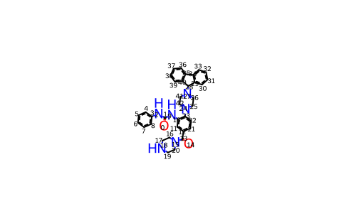 O=C(Nc1ccccc1)Nc1cc(C(=O)N2CCNCC2)ccc1N1CCN(C2c3ccccc3-c3ccccc32)CC1